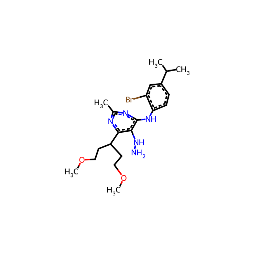 COCCC(CCOC)c1nc(C)nc(Nc2ccc(C(C)C)cc2Br)c1NN